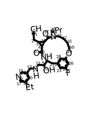 C#CCC1C2C(=O)NC(C(O)CNCc3cncc(CC)c3)Cc3cc(F)cc(c3)OCCCCN(CCC)C(=O)C12